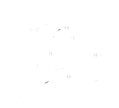 C[C@@H]1CN(C(=O)[C@@H]2CN(C3CCOCC3)C[C@H]2c2ccc(F)cc2F)C[C@H](C)[C@]1(O)c1ccccc1.Cl